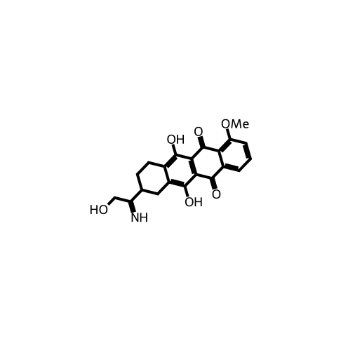 COc1cccc2c1C(=O)c1c(O)c3c(c(O)c1C2=O)CC(C(=N)CO)CC3